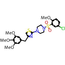 COc1ccc(Cl)cc1S(=O)(=O)N1CCN(c2nc(Cc3cc(OC)c(OC)c(OC)c3)cs2)CC1